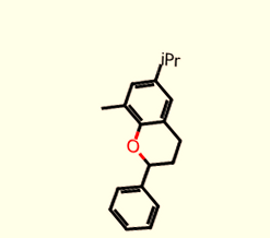 Cc1cc(C(C)C)cc2c1OC(c1ccccc1)CC2